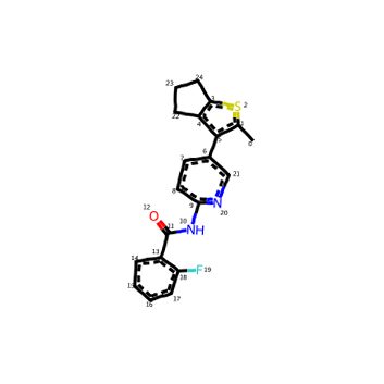 Cc1sc2c(c1-c1ccc(NC(=O)c3ccccc3F)nc1)CCC2